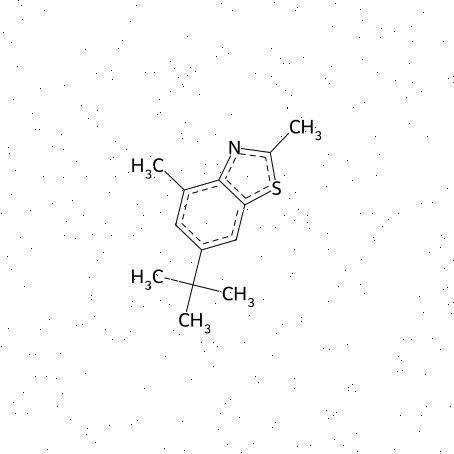 Cc1nc2c(C)cc(C(C)(C)C)cc2s1